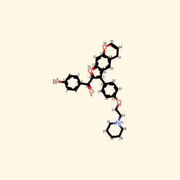 O=C(c1ccc(Br)cc1)c1oc2cc3c(cc2c1-c1ccc(OCCN2CCCCC2)cc1)CC=CO3